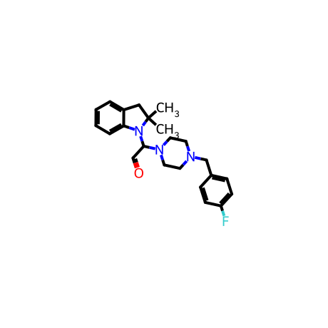 CC1(C)Cc2ccccc2N1C(C=O)N1CCN(Cc2ccc(F)cc2)CC1